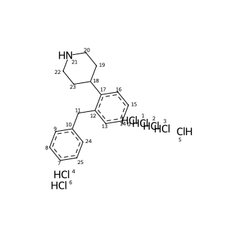 Cl.Cl.Cl.Cl.Cl.Cl.Cl.c1ccc(Cc2ccccc2C2CCNCC2)cc1